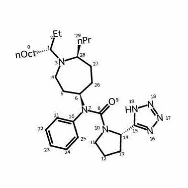 CCCCCCCC[C@H](CC)N1CC[C@H](N(C(=O)N2CCC[C@H]2c2nnn[nH]2)c2ccccc2)CC[C@@H]1CCC